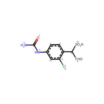 NC(=O)Nc1ccc(C([C]=O)S(=O)(=O)O)c(Cl)c1